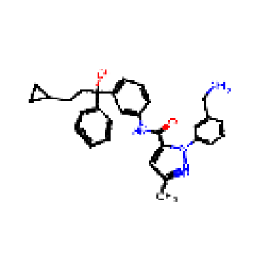 NCc1cccc(-n2nc(C(F)(F)F)cc2C(=O)Nc2cccc(C(O)(CCC3CC3)c3ccccc3)c2)c1